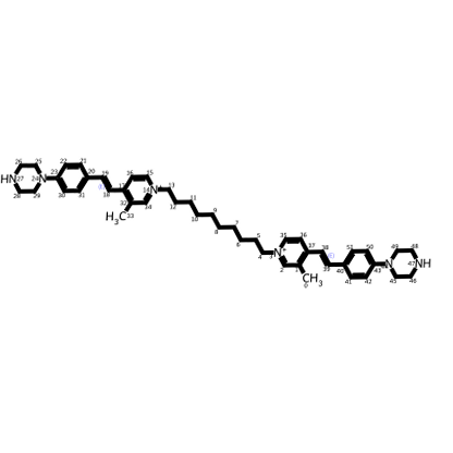 Cc1c[n+](CCCCCCCCCC[n+]2ccc(/C=C/c3ccc(N4CCNCC4)cc3)c(C)c2)ccc1/C=C/c1ccc(N2CCNCC2)cc1